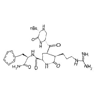 CCCC[C@@H]1NC[C@H](C(=O)C2C[C@H](C(=O)N[C@H](Cc3ccccc3)C(N)=O)NC(=O)[C@@H]2CCCNC(=N)N)NC1=O